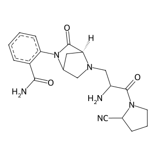 N#CC1CCCN1C(=O)C(N)CN1CC2C[C@H]1C(=O)N2c1ccccc1C(N)=O